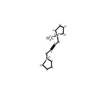 C[N+]1(CC#CCN2CCCC2)CCCC1